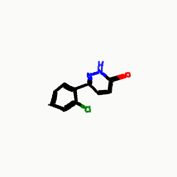 O=c1ccc(-c2cc[c]cc2Cl)n[nH]1